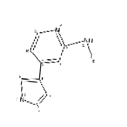 INc1cc(-c2cn[nH]c2)ccn1